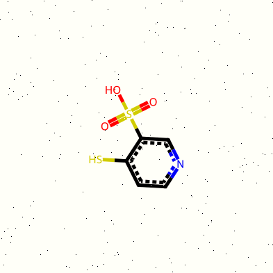 O=S(=O)(O)c1cnccc1S